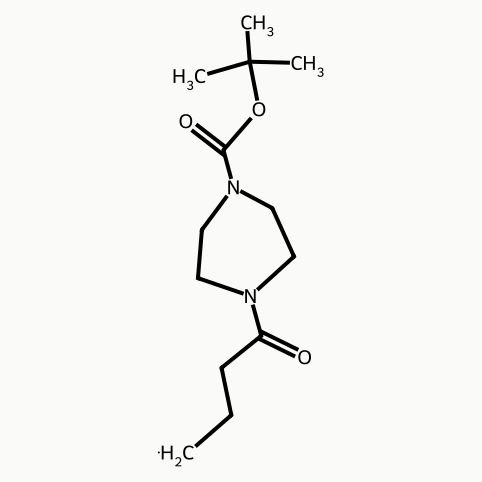 [CH2]CCC(=O)N1CCN(C(=O)OC(C)(C)C)CC1